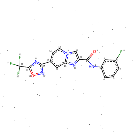 O=C(Nc1cccc(F)c1)c1cn2ccc(-c3noc(C(F)(F)F)n3)cc2n1